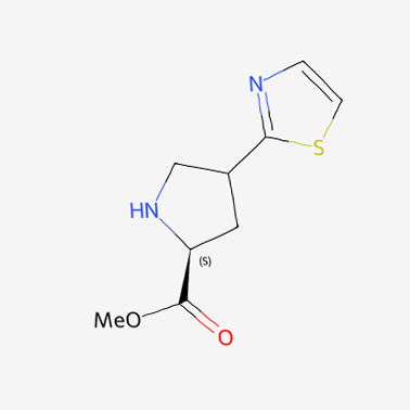 COC(=O)[C@@H]1CC(c2nccs2)CN1